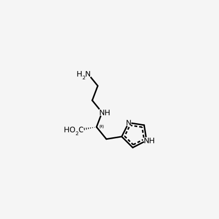 NCCN[C@H](Cc1c[nH]cn1)C(=O)O